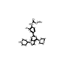 CC(C)(C)OC(=O)Nc1ccc(-c2nc(N3CCOCC3)c3cnn(C4CCNCC4)c3n2)cc1F